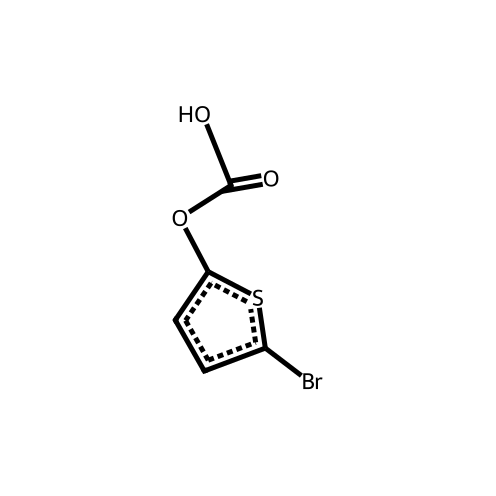 O=C(O)Oc1ccc(Br)s1